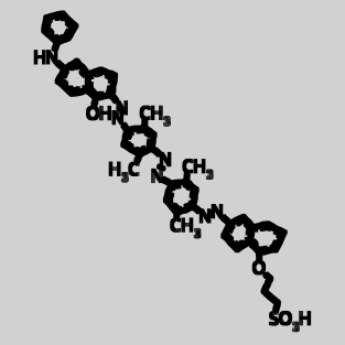 Cc1cc(N=Nc2cc(C)c(N=Nc3ccc4cc(Nc5ccccc5)ccc4c3O)cc2C)c(C)cc1N=Nc1ccc2c(OCCCS(=O)(=O)O)cccc2c1